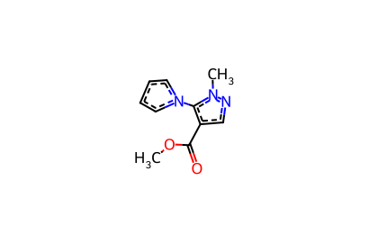 COC(=O)c1cnn(C)c1-n1cccc1